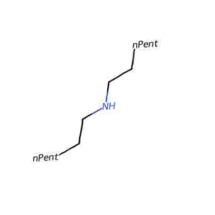 CCCCCCCNCCCCCCC